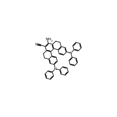 N#Cc1c(N)c2c(c3c1CCc1cc(N(c4ccccc4)c4ccccc4)ccc1-3)-c1ccc(N(c3ccccc3)c3ccccc3)cc1CC2